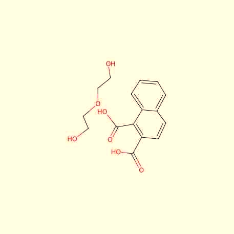 O=C(O)c1ccc2ccccc2c1C(=O)O.OCCOCCO